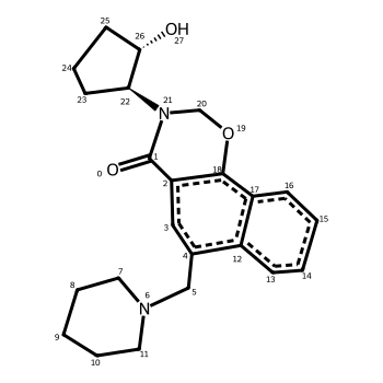 O=C1c2cc(CN3CCCCC3)c3ccccc3c2OCN1[C@H]1CCC[C@@H]1O